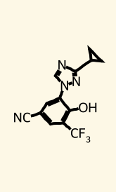 N#Cc1cc(-n2cnc(C3CC3)n2)c(O)c(C(F)(F)F)c1